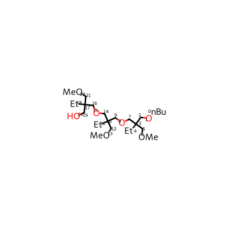 CCCCOCC(CC)(COC)COCC(CC)(COC)COCC(CC)(CO)COC